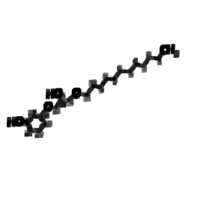 CCCCCCCCCCCCOCC(O)COc1cccc(O)c1